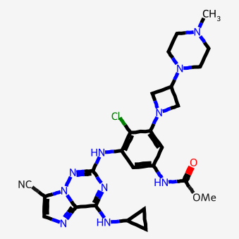 COC(=O)Nc1cc(Nc2nc(NC3CC3)c3ncc(C#N)n3n2)c(Cl)c(N2CC(N3CCN(C)CC3)C2)c1